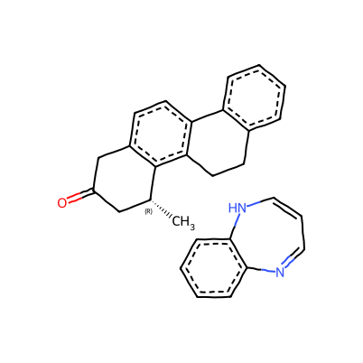 C1=CNc2ccccc2N=C1.C[C@@H]1CC(=O)Cc2ccc3c(c21)CCc1ccccc1-3